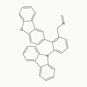 C=NCc1cccc(-n2c3ccccc3c3ccccc32)c1-c1ccc2oc3ccccc3c2c1